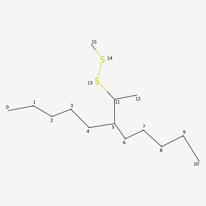 CCCCCC(CCCCC)C(C)SSC